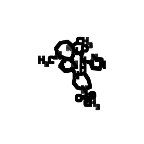 C[C@@H]1CCCN(C)c2ccc(N3CCCN(S(C)(=O)=O)CC3)nc2N1C(=O)Nc1ccncn1